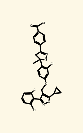 CC1(c2ccc(OCc3c(-c4c(Cl)cccc4Cl)noc3C3CC3)cc2Cl)CC(c2ccc(C(=O)O)cc2)=NO1